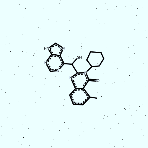 Cc1cccc2nc(C(S)c3ncnc4[nH]cnc34)n(C3CCCCC3)c(=O)c12